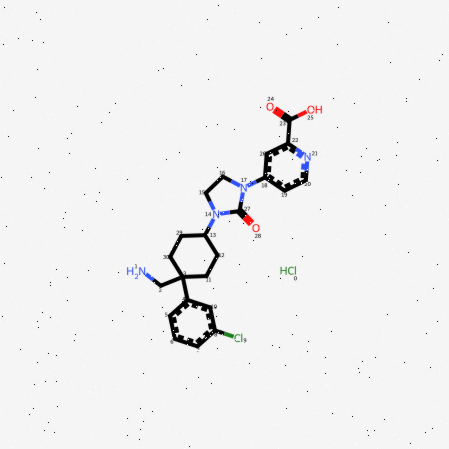 Cl.NCC1(c2cccc(Cl)c2)CCC(N2CCN(c3ccnc(C(=O)O)c3)C2=O)CC1